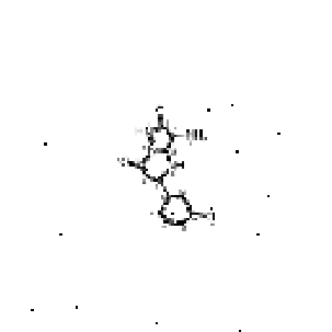 Nc1c(=O)[nH]n2c(=O)cc(-c3cccc(Cl)c3)[nH]c12